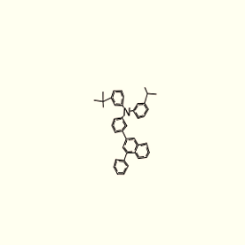 CC(C)c1cccc(N(c2cccc(-c3cc(-c4ccccc4)c4ccccc4c3)c2)c2cccc(C(C)(C)C)c2)c1